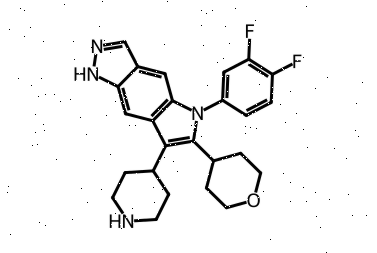 Fc1ccc(-n2c(C3CCOCC3)c(C3CCNCC3)c3cc4[nH]ncc4cc32)cc1F